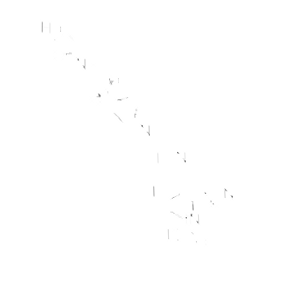 C=CC(=O)N1CC(S(=O)(=O)c2ccc(N3CC(F)(CN4CCC(C(CN5CCC5)(c5cccc(F)c5)[C@H]5CCC[C@@H]5NC(=O)O)CC4)C3)cc2)C1